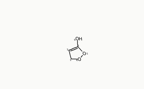 OC1=CCOO1